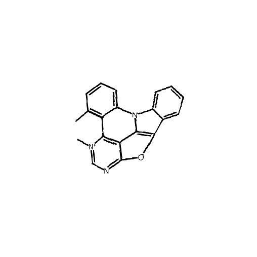 Cc1cccc2c1c1c3c(nc[n+]1C)oc1c4ccccc4n2c13